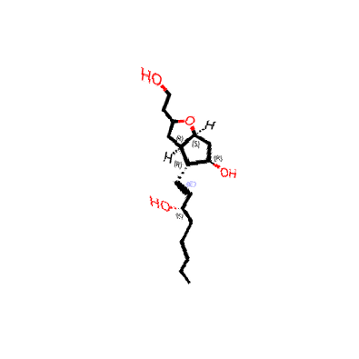 CCCCC[C@H](O)/C=C/[C@@H]1[C@H]2CC(CCO)O[C@H]2C[C@H]1O